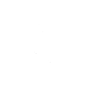 C=CCN(C)Cc1cc(N(C)C)c2c(c1C)C(=O)C1=C(C)C3(C)C(=O)C(C(C)=O)=C(C)CC3(C)CC1(C)C2